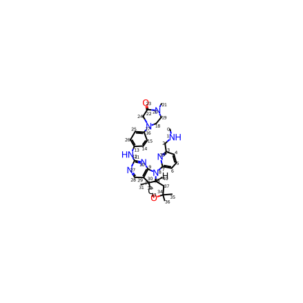 CNCc1cccc(N2c3nc(Nc4ccc(N5CCN(C)C(=O)C5)cc4)ncc3[C@@]3(C)COC(C)(C)C[C@@H]23)n1